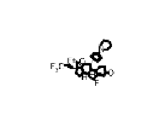 CCC(=O)[C@@]1(C#CC(F)(F)F)CC[C@H]2[C@@H]3CC(F)C4=CC(=O)CCC4=C3[C@@H](c3ccc(N4CCCCC4)cc3)C[C@@]21C